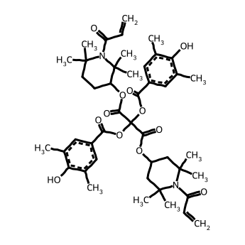 C=CC(=O)N1C(C)(C)CC(OC(=O)C(OC(=O)c2cc(C)c(O)c(C)c2)(OC(=O)c2cc(C)c(O)c(C)c2)C(=O)OC2CCC(C)(C)N(C(=O)C=C)C2(C)C)CC1(C)C